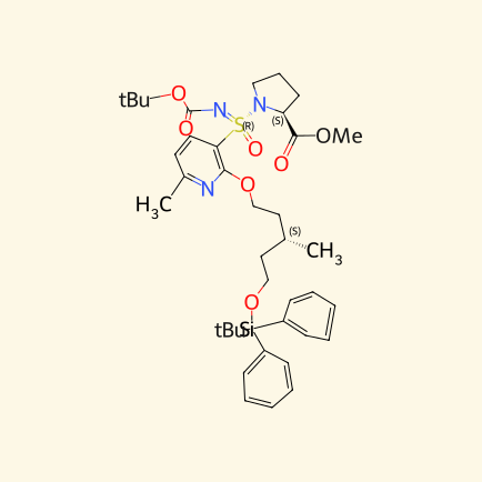 COC(=O)[C@@H]1CCCN1[S@@](=O)(=NC(=O)OC(C)(C)C)c1ccc(C)nc1OCC[C@H](C)CCO[Si](c1ccccc1)(c1ccccc1)C(C)(C)C